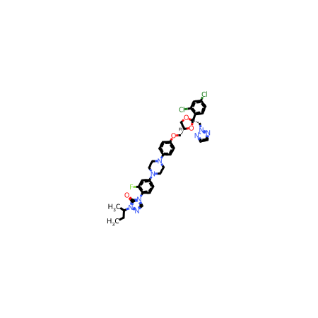 CCC(C)n1ncn(-c2ccc(N3CCN(c4ccc(OC[C@@H]5CO[C@@](Cn6nccn6)(c6ccc(Cl)cc6Cl)O5)cc4)CC3)cc2F)c1=O